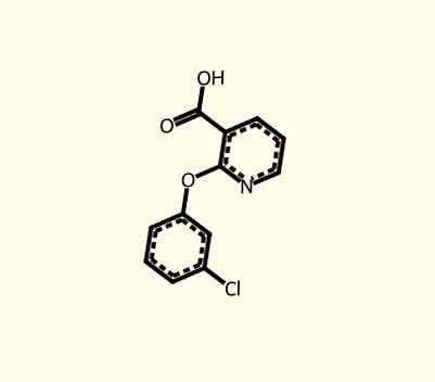 O=C(O)c1cccnc1Oc1cccc(Cl)c1